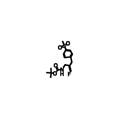 CC(C)(C)OC(=O)NC/C(=C\F)Cc1ccc(S(C)(=O)=O)cc1